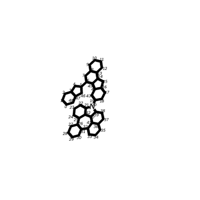 C1CCC2CC(C3CC4CCCCC4C4CC5CCC(N6C7CCCC8C9CCCCC9C9CCCC%10CCC6C(C%109)C87)CC5C34)CC2C1